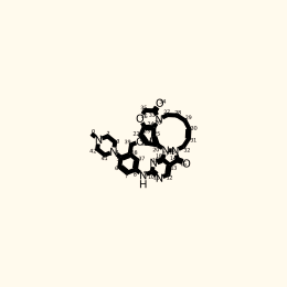 CN1CCN(c2ccc(Nc3ncc4c(=O)n5n(c4n3)-c3ccc4c(c3)N(CCC/C=C\C5)C(=O)CO4)cc2CO)CC1